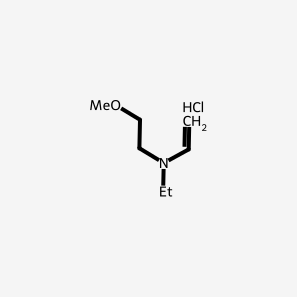 C=CN(CC)CCOC.Cl